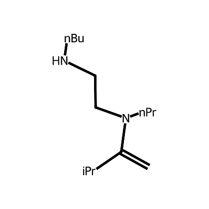 C=C(C(C)C)N(CCC)CCNCCCC